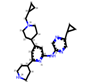 c1nc(C2CC2)cnc1Nc1cc(C2CCN(CC3CC3)CC2)cc(C2CCNCC2)n1